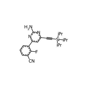 CC(C)[Si](C#Cc1cc(-c2cccc(C#N)c2F)nc(N)n1)(C(C)C)C(C)C